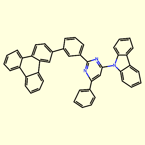 c1ccc(-c2cc(-n3c4ccccc4c4ccccc43)nc(-c3cccc(-c4ccc5c6ccccc6c6ccccc6c5c4)c3)n2)cc1